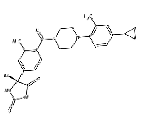 CC[C@]1(c2ccc(C(=O)N3CCN(c4ncc(C5CC5)cc4C)CC3)c(C)c2)NC(=O)NC1=O